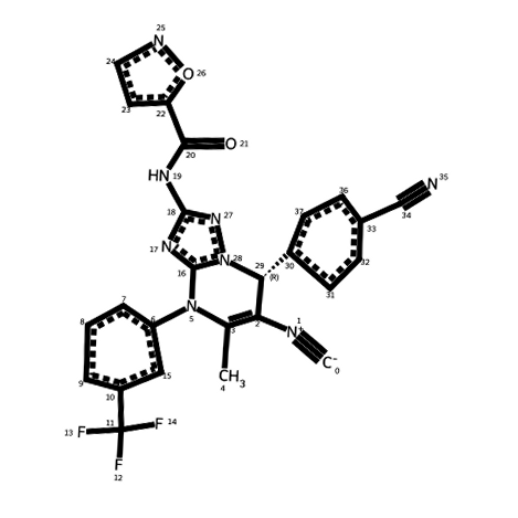 [C-]#[N+]C1=C(C)N(c2cccc(C(F)(F)F)c2)c2nc(NC(=O)c3ccno3)nn2[C@@H]1c1ccc(C#N)cc1